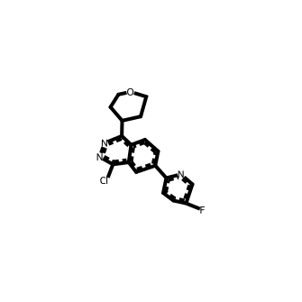 Fc1ccc(-c2ccc3c(C4CCOCC4)nnc(Cl)c3c2)nc1